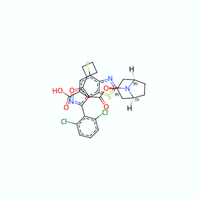 O=C(O)c1cc(F)c2nc(N3[C@@H]4CC[C@H]3C[C@@H](OC(=O)c3c(-c5c(Cl)cccc5Cl)noc3C3CCC3)C4)sc2c1